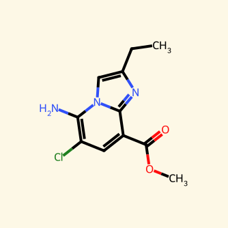 CCc1cn2c(N)c(Cl)cc(C(=O)OC)c2n1